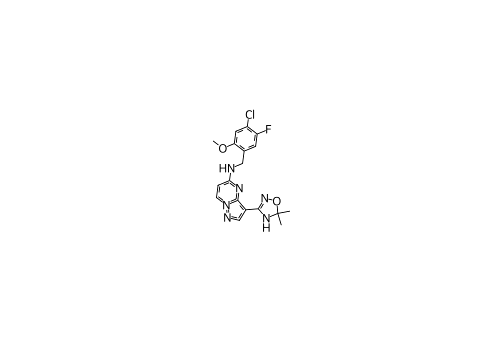 COc1cc(Cl)c(F)cc1CNc1ccn2ncc(C3=NOC(C)(C)N3)c2n1